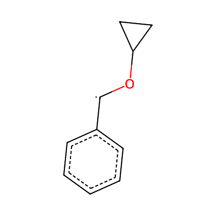 [CH](OC1CC1)c1ccccc1